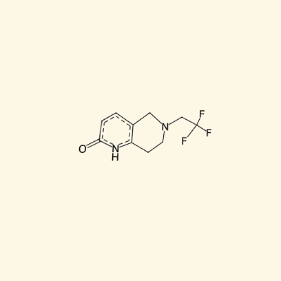 O=c1ccc2c([nH]1)CCN(CC(F)(F)F)C2